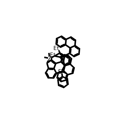 CCC1=C(c2cccc3ccc4ccccc4c23)c2c3cccc2[Si](C)(c2ccccc2)c2cccc4c2C(c2cccc5ccc6ccccc6c25)=C(CC)[CH]4[Zr]([CH3])([CH3])[CH]13